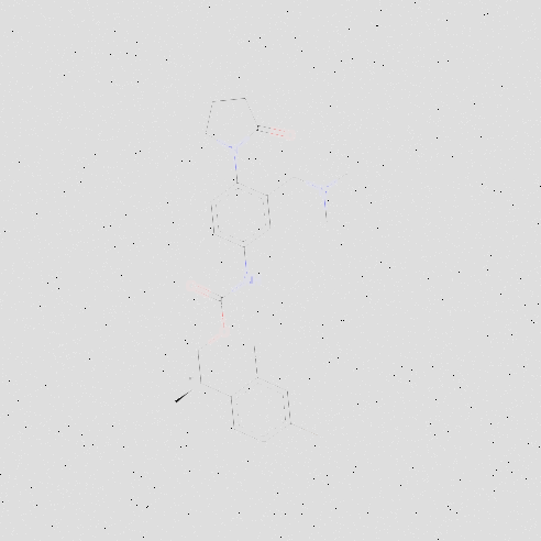 BN(C)Cc1cc(NC(=O)OC[C@H](C)c2ccc(Br)cc2C)ccc1N1CCCC1=O